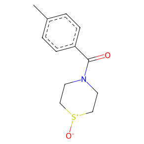 Cc1ccc(C(=O)N2CC[S+]([O-])CC2)cc1